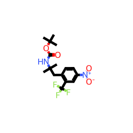 CC(C)(Cc1ccc([N+](=O)[O-])cc1C(F)(F)F)NC(=O)OC(C)(C)C